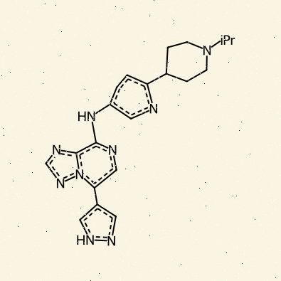 CC(C)N1CCC(c2ccc(Nc3ncc(-c4cn[nH]c4)n4ncnc34)cn2)CC1